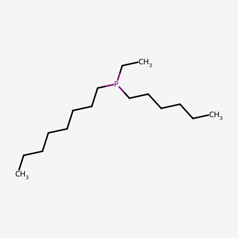 CCCCCCCCP(CC)CCCCCC